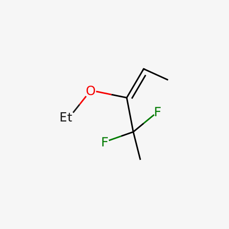 CC=C(OCC)C(C)(F)F